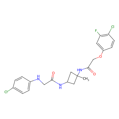 CC1(NC(=O)COc2ccc(Cl)c(F)c2)CC(NC(=O)CNc2ccc(Cl)cc2)C1